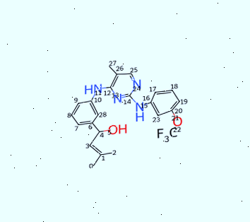 CC(C)=CC(O)c1cccc(Nc2nc(Nc3cccc(OC(F)(F)F)c3)ncc2C)c1